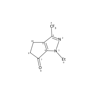 CCn1nc(C(F)(F)F)c2c1C(=O)CC2